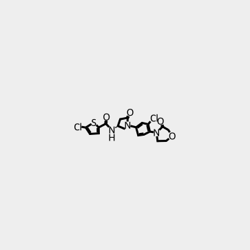 O=C(N[C@@H]1CC(=O)N(c2ccc(N3CCOCC3=O)c(Cl)c2)C1)c1ccc(Cl)s1